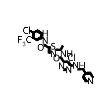 CC(NC(=O)c1ncnc(NCCc2ccncc2)c1Cl)c1ncc(C(=O)Nc2ccc(Cl)c(C(F)(F)F)c2)s1